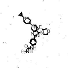 CCNC(=O)Nc1ccc(-c2nc3c(c(N4CCOCC4C)n2)CCN(C2CCN(C4CC4)CC2)C3)cc1